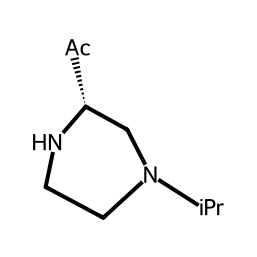 CC(=O)[C@@H]1CN(C(C)C)CCN1